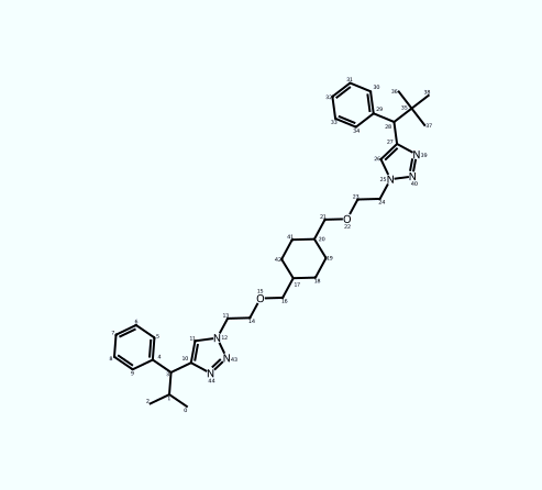 CC(C)C(c1ccccc1)c1cn(CCOCC2CCC(COCCn3cc(C(c4ccccc4)C(C)(C)C)nn3)CC2)nn1